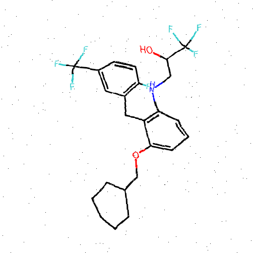 OC(CNc1cccc(OCC2CCCCC2)c1Cc1cc(C(F)(F)F)ccc1F)C(F)(F)F